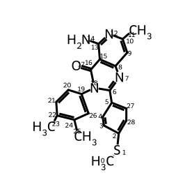 CSc1ccc(-c2nc3cc(C)nc(N)c3c(=O)n2-c2ccc(C)c(C)c2)cc1